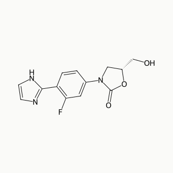 O=C1O[C@@H](CO)CN1c1ccc(-c2ncc[nH]2)c(F)c1